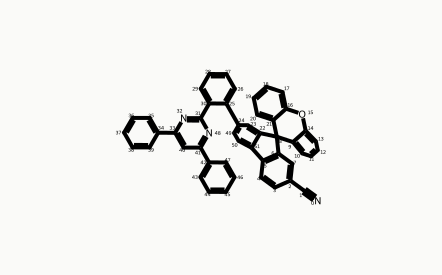 N#Cc1ccc2c(c1)C1(c3ccccc3Oc3ccccc31)c1cc(-c3ccccc3-c3nc(-c4ccccc4)cc(-c4ccccc4)n3)ccc1-2